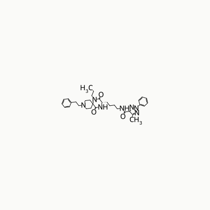 CCCN1C(=O)[C@H](CCCCNC(=O)c2nn(-c3ccccc3)nc2C)NC(=O)C12CCN(CCc1ccccc1)CC2